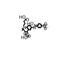 CC1(C)CC(CS(=O)(=O)O)c2cc(/N=N/c3ccc([N+](=O)[O-])cc3)c(O)cc2N1CCCC(=O)O